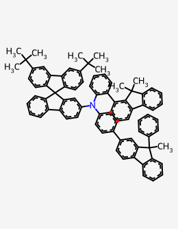 CC(C)(C)c1ccc2c(c1)-c1cc(C(C)(C)C)ccc1C21c2ccccc2-c2ccc(N(c3ccc(-c4ccc5c(c4)C(C)(c4ccccc4)c4ccccc4-5)cc3)c3ccccc3-c3cccc4c3C(C)(C)c3ccccc3-4)cc21